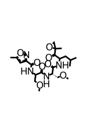 COCC(NC(=O)c1cc(C)on1)C(=O)N[C@@H](COC)C(=O)NC(CC(C)C)C(=O)C1(C)CO1